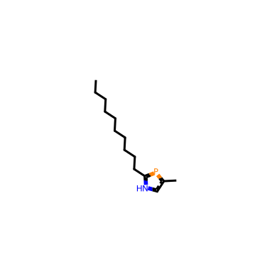 CCCCCCCCCCc1[nH]cc(C)p1